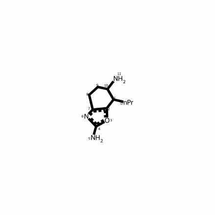 CCCC1c2oc(N)nc2CCC1N